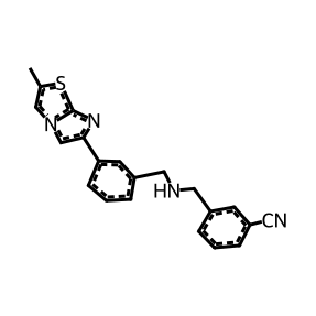 Cc1cn2cc(-c3cccc(CNCc4cccc(C#N)c4)c3)nc2s1